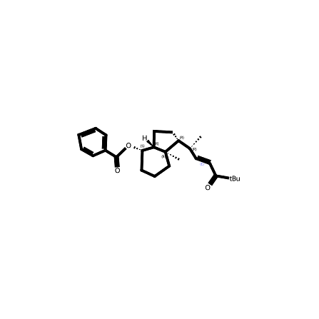 C[C@H](/C=C/C(=O)C(C)(C)C)[C@H]1CC[C@H]2[C@@H](OC(=O)c3ccccc3)CCC[C@]12C